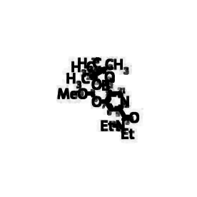 CCN(CC)C(=O)c1cc(OCOC)c(B2OC(C)(C)C(C)(C)O2)cn1